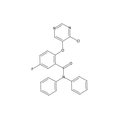 O=C(c1cc(F)ccc1Oc1cncnc1Cl)N(c1ccccc1)c1ccccc1